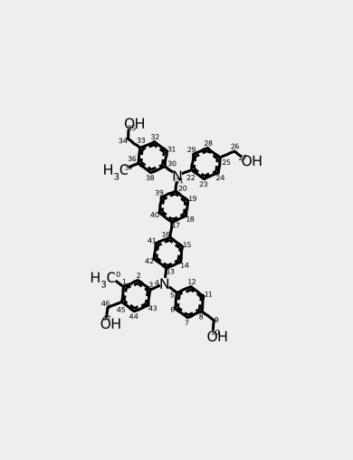 Cc1cc(N(c2ccc(CO)cc2)c2ccc(-c3ccc(N(c4ccc(CO)cc4)c4ccc(CO)c(C)c4)cc3)cc2)ccc1CO